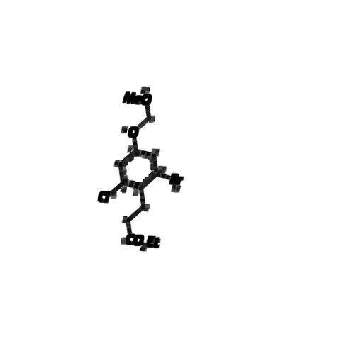 CCOC(=O)CCc1c(Cl)cc(OCOC)cc1Br